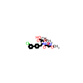 COCC(C)(C[C@@H](Cc1ccc(-c2cccc(Cl)c2)cc1)NC(=O)c1cc(OC)no1)C(=O)O